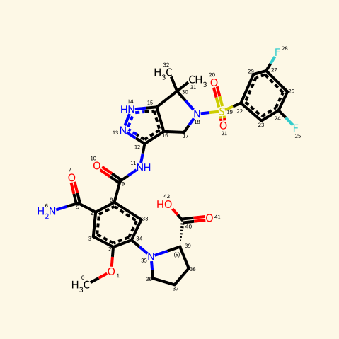 COc1cc(C(N)=O)c(C(=O)Nc2n[nH]c3c2CN(S(=O)(=O)c2cc(F)cc(F)c2)C3(C)C)cc1N1CCC[C@H]1C(=O)O